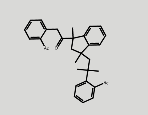 CC(=O)c1ccccc1CC(=O)C1(C)CC(C)(CC(C)(C)c2ccccc2C(C)=O)c2ccccc21